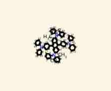 Cc1ccccc1N(c1ccc2c(-c3ccc(N(c4ccccc4)c4ccccc4)cc3)c3cc(N(c4ccccc4C)c4ccccc4C)ccc3c(-c3ccc(N(c4ccccc4)c4ccccc4)cc3)c2c1)c1ccccc1C